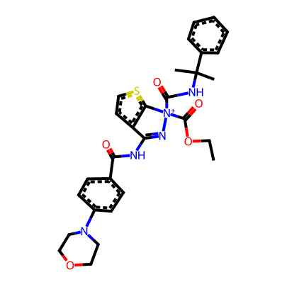 CCOC(=O)[N+]1(C(=O)NC(C)(C)c2ccccc2)N=C(NC(=O)c2ccc(N3CCOCC3)cc2)c2ccsc21